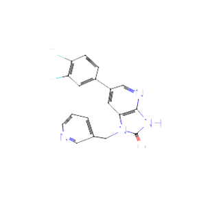 O=c1[nH]c2ncc(-c3ccc(F)c(F)c3)cc2n1Cc1cccnc1